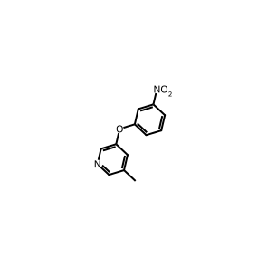 Cc1cncc(Oc2cccc([N+](=O)[O-])c2)c1